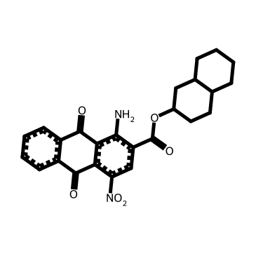 Nc1c(C(=O)OC2CCC3CCCCC3C2)cc([N+](=O)[O-])c2c1C(=O)c1ccccc1C2=O